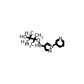 CC(C)(O)C(C)(C)OBc1cnn(-c2cccnc2)c1